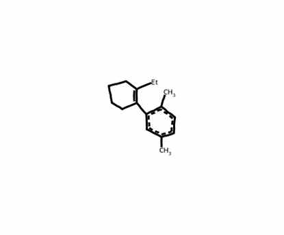 CCC1=C(c2cc(C)ccc2C)CCCC1